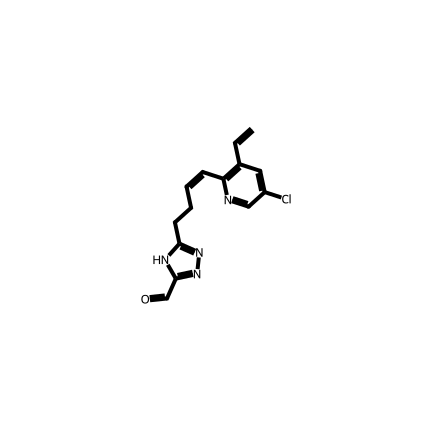 C=Cc1cc(Cl)cnc1/C=C\CCc1nnc(C=O)[nH]1